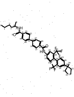 CCCCC(C)NC(=O)c1ccc(-c2ccc(C(=O)Nc3ccc(-c4ccc(C(C)(CC)CC)cc4C(F)(F)F)c(C(F)(F)F)c3)cc2)cc1